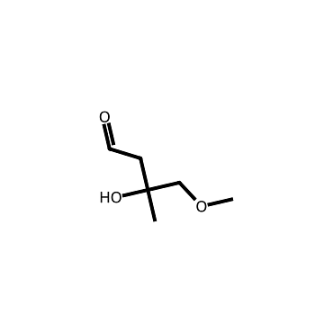 COCC(C)(O)CC=O